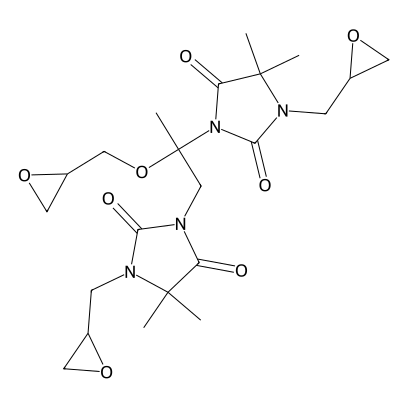 CC(CN1C(=O)N(CC2CO2)C(C)(C)C1=O)(OCC1CO1)N1C(=O)N(CC2CO2)C(C)(C)C1=O